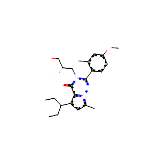 CCC(CC)c1cc(C)n2nc(-c3ccc(OC)cc3Cl)n(C[C@@H](O)CO)c(=O)c12